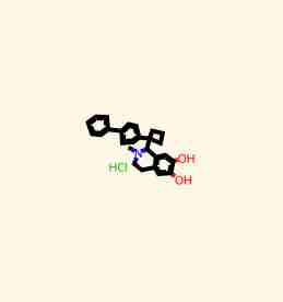 CN1CCc2cc(O)c(O)cc2C1C1(c2ccc(-c3ccccc3)cc2)CCC1.Cl